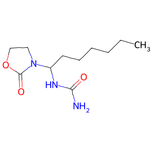 CCCCCCC(NC(N)=O)N1CCOC1=O